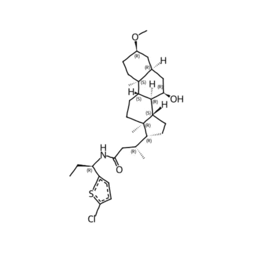 CC[C@@H](NC(=O)C[C@@H](C)[C@H]1CC[C@H]2[C@@H]3[C@H](O)C[C@@H]4C[C@H](OC)CC[C@]4(C)[C@H]3CC[C@]12C)c1ccc(Cl)s1